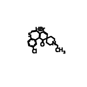 Br.CCN1CCC2(C=CC3=C(C2=O)c2cc(Cl)ccc2SC=C3)CC1